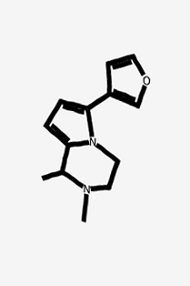 CC1c2ccc(-c3ccoc3)n2CCN1C